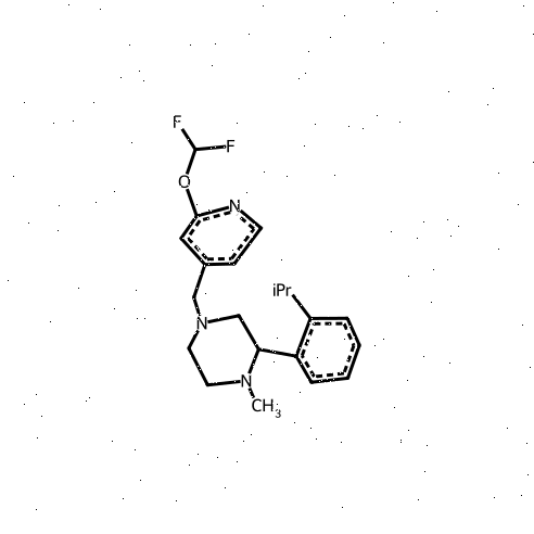 CC(C)c1ccccc1C1CN(Cc2ccnc(OC(F)F)c2)CCN1C